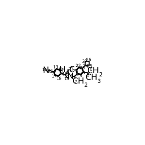 C=C(C)c1cc(C(=C)N2CC(c3ccc(C#N)cc3)C2)c(C)cc1C1CCC1